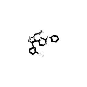 CCOCn1nnc(-c2cccc(C(F)(F)F)c2)c1-c1ccnc(Oc2ccccc2)n1